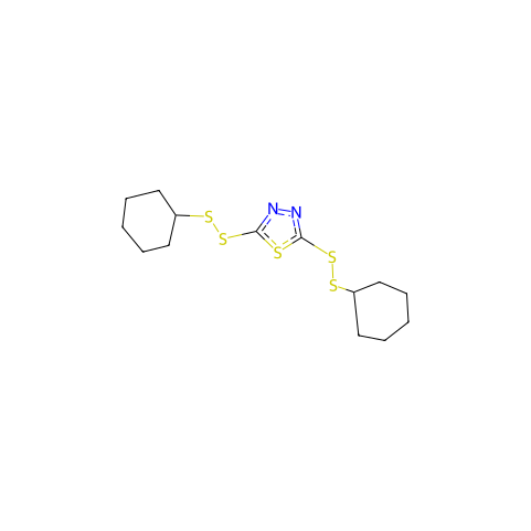 C1CCC(SSc2nnc(SSC3CCCCC3)s2)CC1